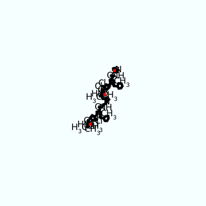 Cc1c(C(=O)NCCN2CCC2CC(C)(C)NS(=O)(=O)c2ccc(-c3cc(C(=O)NC4CN5CCC4CC5)c(C)n3CC3CCCCC3)c(Cl)c2Cl)cc(-c2ccc(S(=O)(=O)NC(C)(C)C)c(Cl)c2Cl)n1CC1CCCCC1